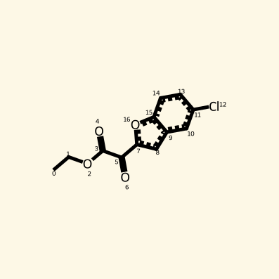 CCOC(=O)C(=O)c1cc2cc(Cl)ccc2o1